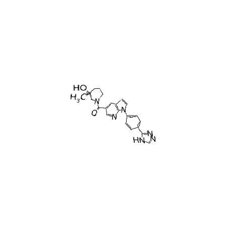 C[C@@]1(O)CCCN(C(=O)c2cnc3c(ccn3-c3ccc(-c4nnc[nH]4)cc3)c2)C1